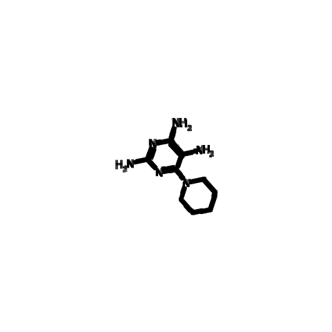 Nc1nc(N)c(N)c(N2CCCCC2)n1